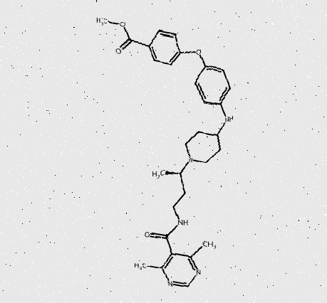 COC(=O)c1ccc(Oc2ccc(NC3CCN([C@H](C)CCNC(=O)c4c(C)ncnc4C)CC3)cc2)cc1